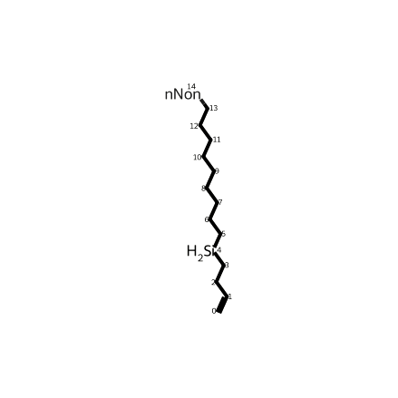 C=CCC[SiH2]CCCCCCCCCCCCCCCCCC